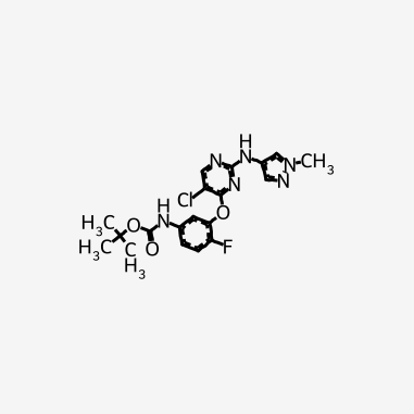 Cn1cc(Nc2ncc(Cl)c(Oc3cc(NC(=O)OC(C)(C)C)ccc3F)n2)cn1